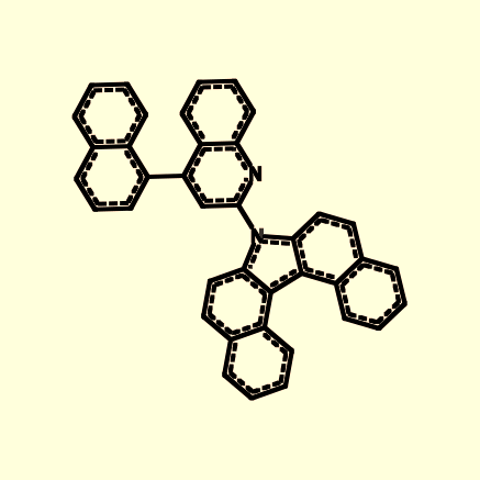 c1ccc2c(-c3cc(-n4c5ccc6ccccc6c5c5c6ccccc6ccc54)nc4ccccc34)cccc2c1